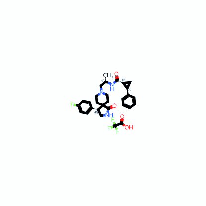 C[C@@H](CN1CCC2(CC1)C(=O)NC[C@@H]2c1ccc(F)cc1)NC(=O)[C@@H]1C[C@H]1c1ccccc1.O=C(O)C(F)(F)F